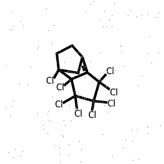 ClC12CCC(=C3C(Cl)(Cl)C(Cl)(Cl)C(Cl)(Cl)C31Cl)C2